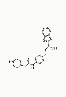 O=C(CN1CCNCC1)Nc1ccc(CCC(O)c2nc3ccccc3s2)cc1